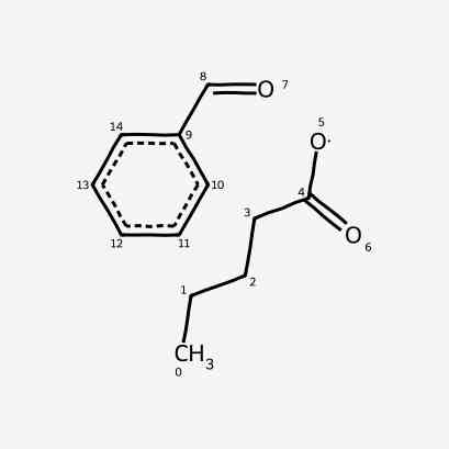 CCCCC([O])=O.O=Cc1ccccc1